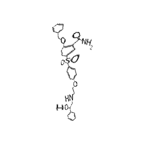 NC(=O)c1cc(S(=O)(=O)c2ccc(OCCNC[C@H](O)c3ccccc3)cc2)ccc1OCc1ccccc1